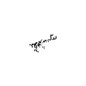 CC(C)C/C(N)=C/N(N)CCOCCOCCNC=O